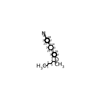 CCCCCC(C)Oc1ccc([C@H]2CC[C@H](c3ccc(C#N)cc3)CC2)cc1